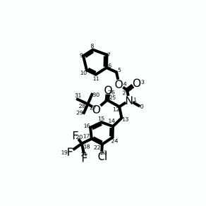 CN(C(=O)OCc1ccccc1)C(Cc1ccc(C(F)(F)F)c(Cl)c1)C(=O)OC(C)(C)C